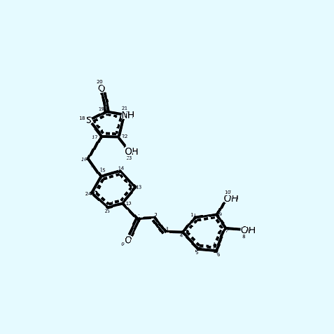 O=C(C=Cc1ccc(O)c(O)c1)c1ccc(Cc2sc(=O)[nH]c2O)cc1